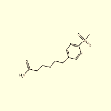 CS(=O)(=O)c1ncc(CCCCCC(N)=O)cn1